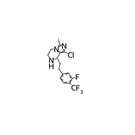 Cc1nc(Cl)c2n1CCNC2CCc1ccc(C(F)(F)F)c(F)c1